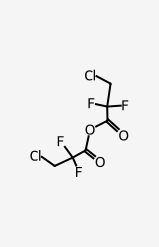 O=C(OC(=O)C(F)(F)CCl)C(F)(F)CCl